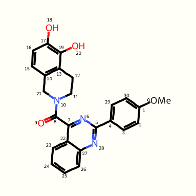 COc1ccc(-c2nc(C(=O)N3CCc4c(ccc(O)c4O)C3)c3ccccc3n2)cc1